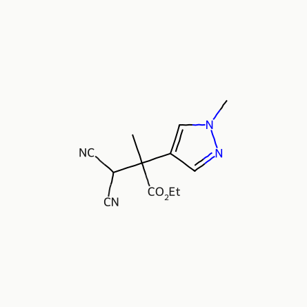 CCOC(=O)C(C)(c1cnn(C)c1)C(C#N)C#N